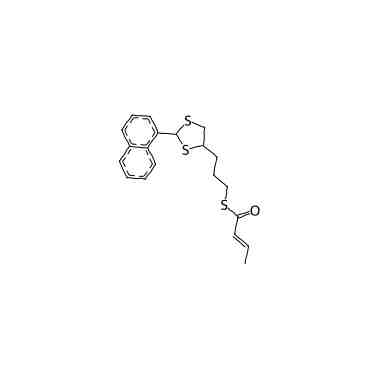 CC=CC(=O)SCCCC1CSC(c2cccc3ccccc23)S1